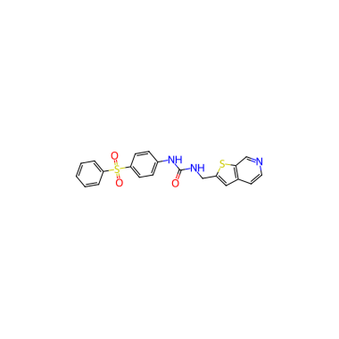 O=C(NCc1cc2ccncc2s1)Nc1ccc(S(=O)(=O)c2ccccc2)cc1